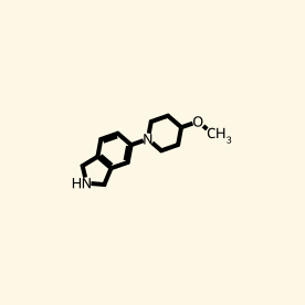 COC1CCN(c2ccc3c(c2)CNC3)CC1